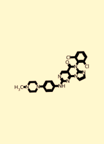 CN1CCN(c2ccc(Nc3ncc4c(=O)n(-c5c(Cl)cccc5Cl)c5nccn5c4n3)cc2)CC1